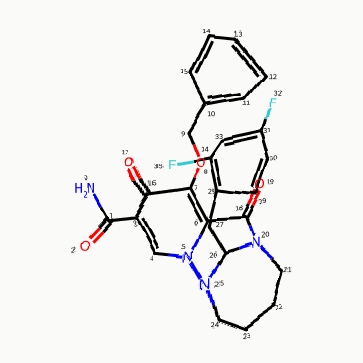 NC(=O)c1cn2c(c(OCc3ccccc3)c1=O)C(=O)N1CCCCN2C1Cc1ccc(F)cc1F